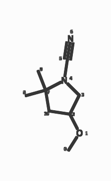 COC1CN(C#N)C(C)(C)C1